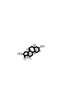 C[C@]12CC[C@@H](O)C[C@H]1CC[C@@H]1[C@@H]2CC[C@]2(C)C(=O)[C@@H](O)C[C@@H]12